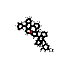 CCC1C/C(=C/c2c3ccccc3c(-c3cccc4c3oc3cccc(-c5c6ccccc6c(-c6ccccc6)c6ccccc56)c34)c3ccccc23)CC(C)C1